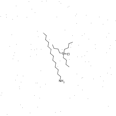 CCCCCCCCCCCCCCN.CCC[CH2][Sn]([Cl])([CH2]CCC)[CH2]CCC